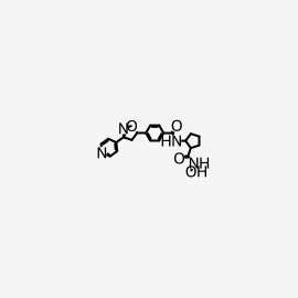 O=C(NC1CCCC1C(=O)NO)c1ccc(C2CC(c3ccncc3)=NO2)cc1